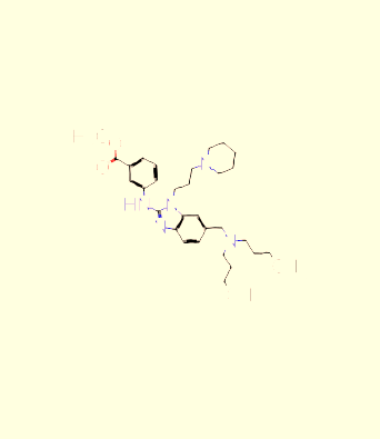 CCCCN(CCCC)Cc1ccc2nc(Nc3cccc(C(=O)OC)c3)n(CCCN3CCCCC3)c2c1